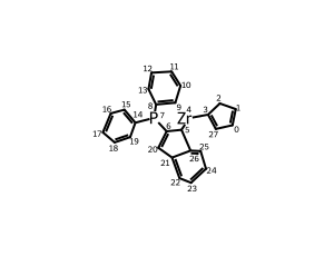 C1=CC[C]([Zr][CH]2C(P(c3ccccc3)c3ccccc3)=Cc3ccccc32)=C1